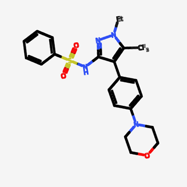 CCn1nc(NS(=O)(=O)c2ccccc2)c(-c2ccc(N3CCOCC3)cc2)c1C(F)(F)F